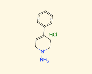 Cl.NN1CC=C(c2ccccc2)CC1